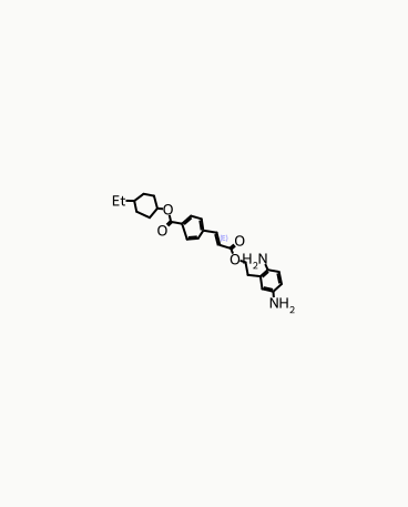 CCC1CCC(OC(=O)c2ccc(/C=C/C(=O)OCCc3cc(N)ccc3N)cc2)CC1